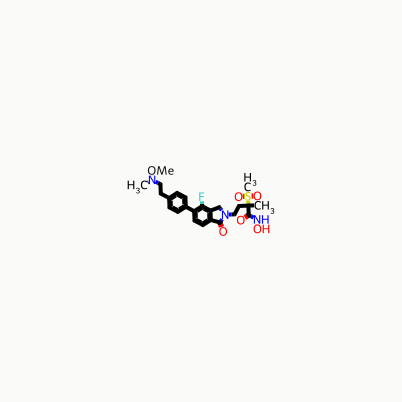 CON(C)CCc1ccc(-c2ccc3c(c2F)CN(CCC(C)(C(=O)NO)S(C)(=O)=O)C3=O)cc1